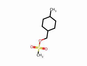 CC1CCC(COS(C)(=O)=O)CC1